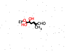 CCOC(O)C(O)CC=C(C)C=O